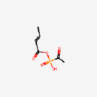 CC=CC(=O)OP(=O)(O)C(C)=O